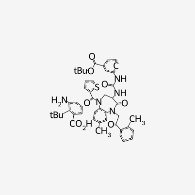 CC(C)(C)c1c(N)cccc1C(=O)O.Cc1ccc2c(c1)N(CC(=O)c1ccccc1C)C(=O)C(NC(=O)Nc1cccc(C(=O)OC(C)(C)C)c1)CN2C(=O)c1cccs1